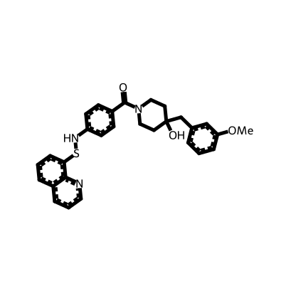 COc1cccc(CC2(O)CCN(C(=O)c3ccc(NSc4cccc5cccnc45)cc3)CC2)c1